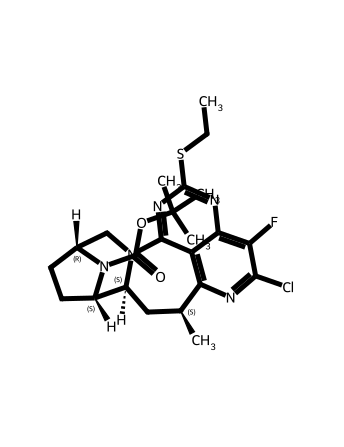 CCSc1nc2c3c(nc(Cl)c(F)c3n1)[C@@H](C)C[C@H]1[C@@H]3CC[C@H](CN21)N3C(=O)OC(C)(C)C